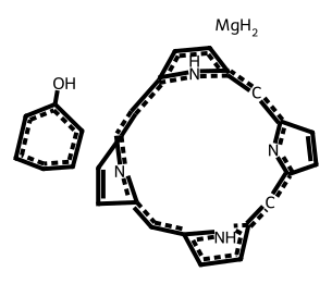 C1=Cc2cc3ccc(cc4nc(cc5ccc(cc1n2)[nH]5)C=C4)[nH]3.Oc1ccccc1.[MgH2]